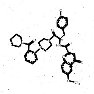 O=C(N[C@H](Cc1ccc(Cl)cc1)C(=O)N1CCN(c2ccccc2C(=O)N2CCCCC2)CC1)c1cc(=O)c2cc(OC(F)(F)F)ccc2o1